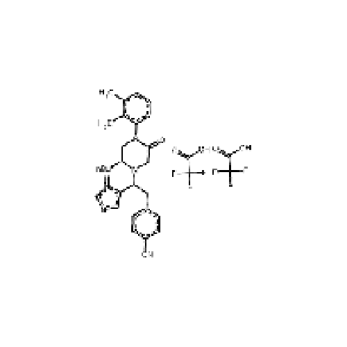 CCCC[C@H]1CN(c2cccc(C)c2C)C(=O)CN1C(Cc1ccc(C#N)cc1)c1cnc[nH]1.O=C(O)C(F)(F)F.O=C(O)C(F)(F)F